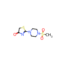 CS(=O)(=O)N1CCN(C2=NC(=O)CS2)CC1